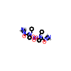 C[C@@H]1CN(C(=O)c2cn(CC3CCCCC3)c3c(O[N+](=O)Oc4cccc5c(C(=O)N6C[C@@H](C)N(C)[C@@H](C)C6)cn(CC6CCCCC6)c45)cccc23)C[C@H](C)N1C